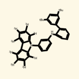 [2H]c1c([2H])c([2H])c2c(c1[2H])c1c([2H])c([2H])c([2H])c([2H])c1n2-c1cccc(Nc2ccccc2-c2cc(C(C)(C)C)cc(C(C)(C)C)c2)c1